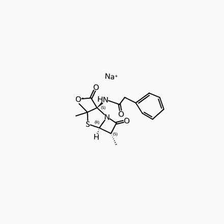 C[C@H]1C(=O)N2[C@@H]1SC(C)(C)[C@]2(NC(=O)Cc1ccccc1)C(=O)[O-].[Na+]